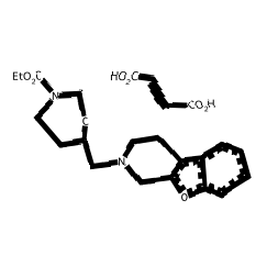 CCOC(=O)N1CCC(CN2CCc3c(oc4ccccc34)C2)CC1.O=C(O)/C=C/C(=O)O